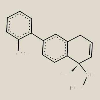 COc1ccccc1-c1ccc2c(c1)CC=C[C@]2(C=O)NC(=O)O